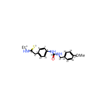 CCNC(=S)Cc1ccc(NC(=O)NCc2ccc(OC)cc2)cc1